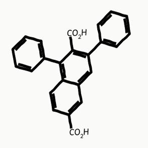 O=C(O)c1ccc2c(-c3ccccc3)c(C(=O)O)c(-c3ccccc3)cc2c1